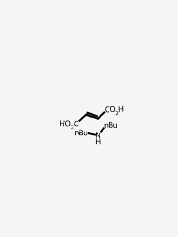 CCCCNCCCC.O=C(O)C=CC(=O)O